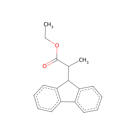 CCOC(=O)C(C)C1c2ccccc2-c2ccccc21